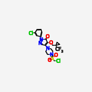 O=c1c(OCC2(C(F)(F)F)CC2)c(N2CCN(S(=O)(=O)CCl)CC2)cnn1-c1cccc(Cl)c1